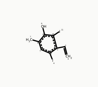 C=Cc1c(I)cc(C)c(O)c1I